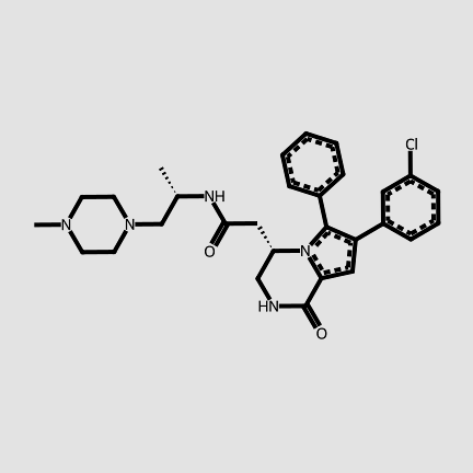 C[C@@H](CN1CCN(C)CC1)NC(=O)C[C@H]1CNC(=O)c2cc(-c3cccc(Cl)c3)c(-c3ccccc3)n21